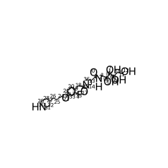 O=C(NC[C@H](O)[C@@H](O)[C@H](O)CCO)C1CN(C(=O)Cc2ccc(OCCCC3CCNCC3)cc2F)C1